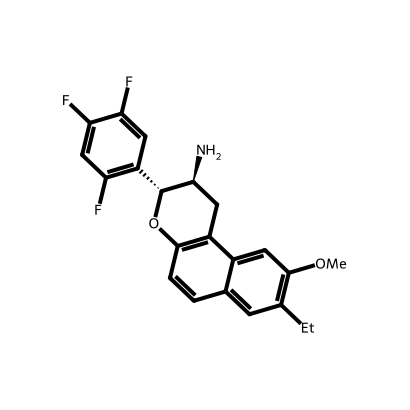 CCc1cc2ccc3c(c2cc1OC)C[C@H](N)[C@@H](c1cc(F)c(F)cc1F)O3